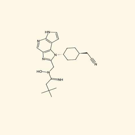 CC(C)(C)CC(=N)N(O)Cc1nc2cnc3[nH]ccc3c2n1[C@H]1CC[C@H](CC#N)CC1